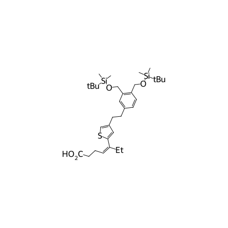 CC/C(=C/CCC(=O)O)c1cc(CCc2ccc(CO[Si](C)(C)C(C)(C)C)c(CO[Si](C)(C)C(C)(C)C)c2)cs1